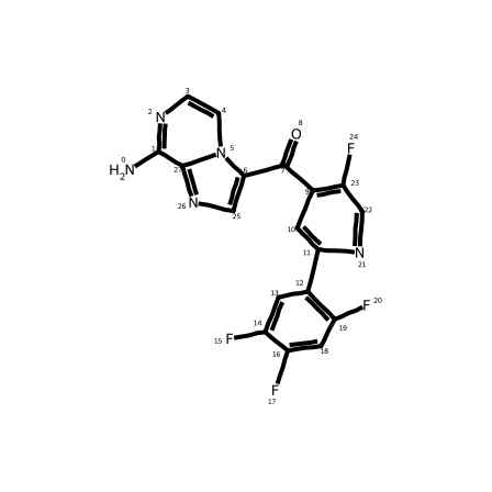 Nc1nccn2c(C(=O)c3cc(-c4cc(F)c(F)cc4F)ncc3F)cnc12